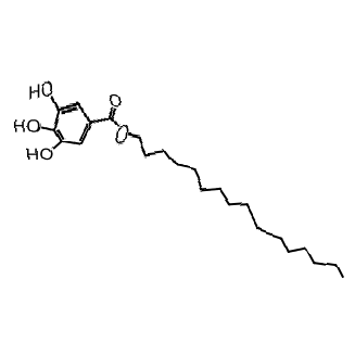 CCCCCCCCCCCCCCCCOC(=O)c1cc(O)c(O)c(O)c1